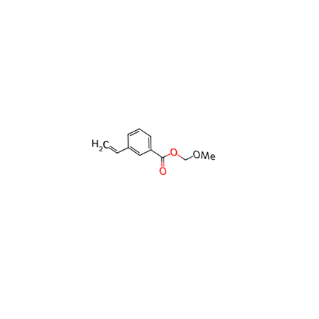 C=Cc1cccc(C(=O)OCOC)c1